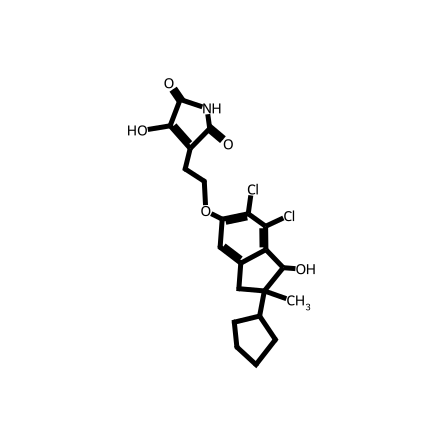 CC1(C2CCCC2)Cc2cc(OCCC3=C(O)C(=O)NC3=O)c(Cl)c(Cl)c2C1O